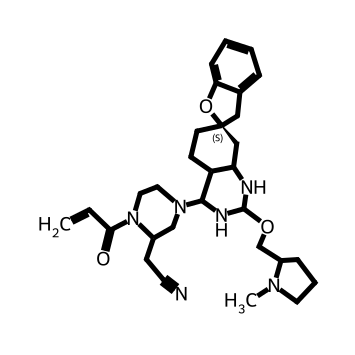 C=CC(=O)N1CCN(C2NC(OCC3CCCN3C)NC3C[C@]4(CCC32)Cc2ccccc2O4)CC1CC#N